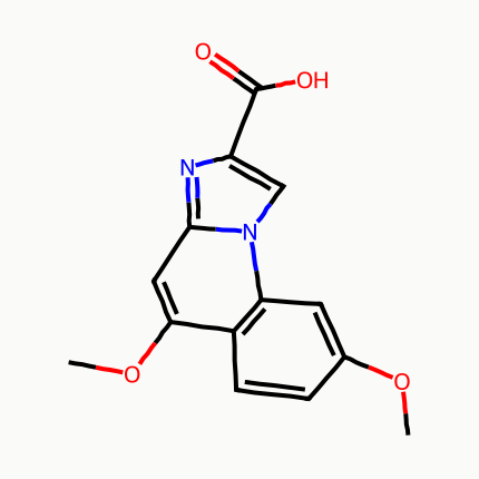 COc1ccc2c(OC)cc3nc(C(=O)O)cn3c2c1